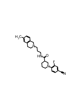 Cc1ccc2c(c1)CCN(CCCNC(=O)C1CCCN(c3ccc(C#N)cc3F)C1)C2